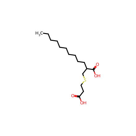 CCCCCCCCCCC(CSCCC(=O)O)C(=O)O